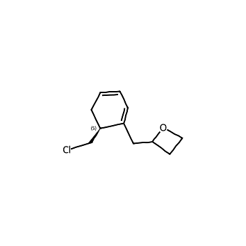 ClC[C@H]1CC=CC=C1CC1CCO1